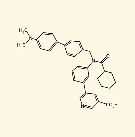 CN(C)c1ccc(-c2ccc(CN(C(=O)C3CCCCC3)c3cccc(-c4cncc(C(=O)O)c4)c3)cc2)cc1